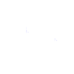 N#Cc1ccc2c(Cl)c[nH]c2c1